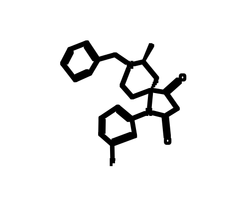 C[C@H]1C[C@]2(CCN1Cc1ccccc1)C(=O)CC(=O)N2c1cccc(F)c1